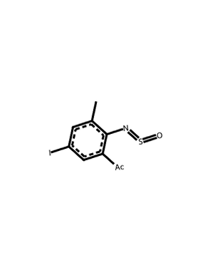 CC(=O)c1cc(I)cc(C)c1N=S=O